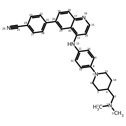 CN(C)CC1CCN(c2ccc(Nc3ccnc4ccc(-c5ccc(C#N)cc5)cc34)cc2)CC1